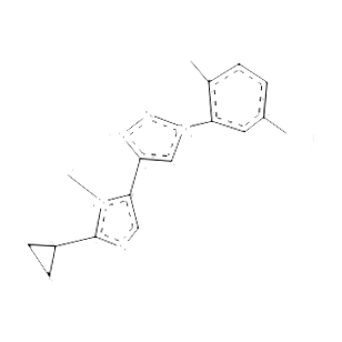 Cc1ccc(C(=O)O)cc1-n1cc(-c2cnc(C3CC3)n2C)nn1